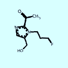 CC(=O)c1ncc(CO)n1CCCF